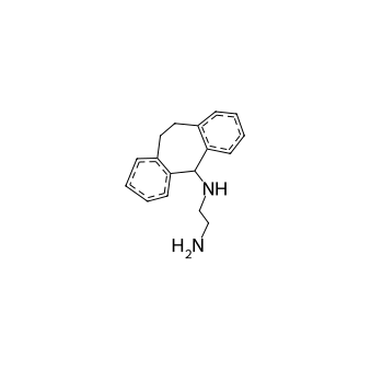 NCCNC1c2ccccc2CCc2ccccc21